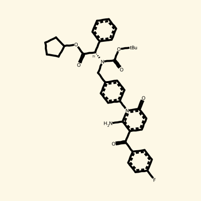 CC(C)(C)OC(=O)N(Cc1ccc(-n2c(N)c(C(=O)c3ccc(F)cc3)ccc2=O)cc1)[C@H](C(=O)OC1CCCC1)c1ccccc1